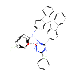 Fc1ccc2c(c1)c1cc(F)ccc1n2-c1ccc2c(c1)C1(c3ccccc3-c3ccc(-c4nc(-c5ccccc5)nc(-c5ccccc5)n4)cc31)c1ccccc1-2